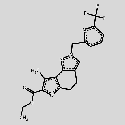 CCOC(=O)c1oc2c(c1C)-c1nn(Cc3cccc(C(F)(F)F)n3)cc1CC2